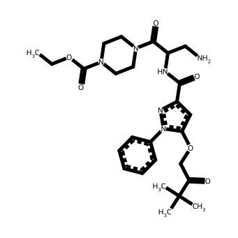 CCOC(=O)N1CCN(C(=O)C(CN)NC(=O)c2cc(OCC(=O)C(C)(C)C)n(-c3ccccc3)n2)CC1